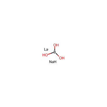 OB(O)O.[La].[NaH]